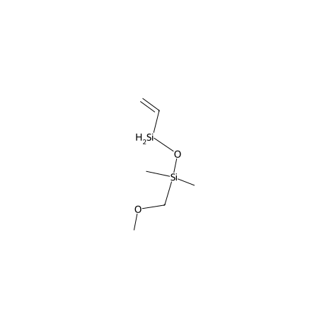 C=C[SiH2]O[Si](C)(C)COC